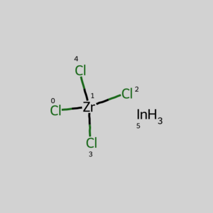 [Cl][Zr]([Cl])([Cl])[Cl].[InH3]